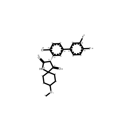 COC1CCC2(CC1)NC(=O)[C@H](c1cc(-c3ccc(F)c(F)c3)ccc1Cl)C2=O